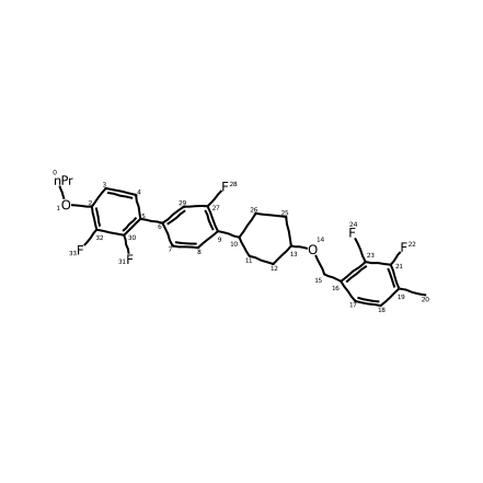 CCCOc1ccc(-c2ccc(C3CCC(OCc4ccc(C)c(F)c4F)CC3)c(F)c2)c(F)c1F